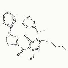 CCCCc1nc(O)c(C(=O)N2CC[C@@H](c3ccccc3)C2)c(=O)n1C(C)c1ccccc1